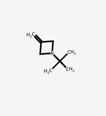 C=C1CN(C(C)(C)C)C1